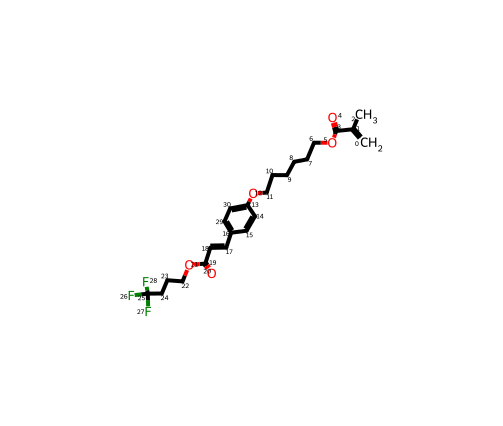 C=C(C)C(=O)OCCCCCCOc1ccc(C=CC(=O)OCCCC(F)(F)F)cc1